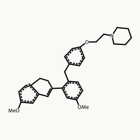 COc1ccc2c(c1)C=C(c1cc(OC)ccc1Cc1ccc(OCCN3CCCCC3)cc1)CC2